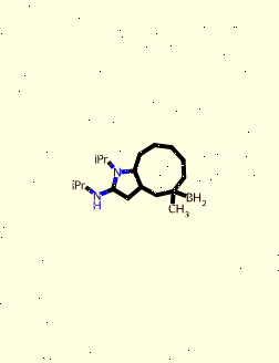 BC1(C)CCCCCC2C(CC(NC(C)C)N2C(C)C)C1